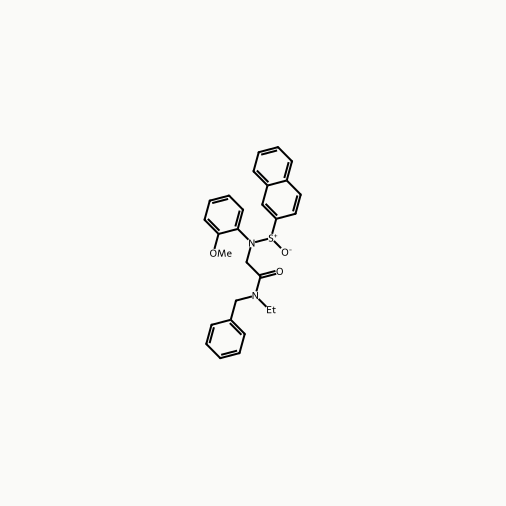 CCN(Cc1ccccc1)C(=O)CN(c1ccccc1OC)[S+]([O-])c1ccc2ccccc2c1